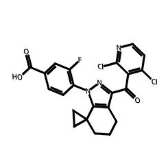 O=C(O)c1ccc(-n2nc(C(=O)c3c(Cl)ccnc3Cl)c3c2C2(CCC3)CC2)c(F)c1